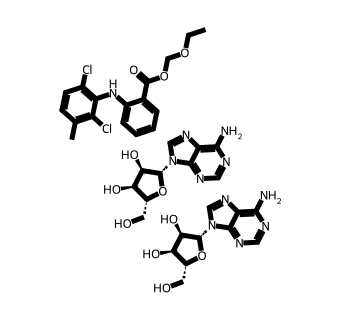 CCOCOC(=O)c1ccccc1Nc1c(Cl)ccc(C)c1Cl.Nc1ncnc2c1ncn2[C@@H]1O[C@H](CO)[C@@H](O)[C@H]1O.Nc1ncnc2c1ncn2[C@@H]1O[C@H](CO)[C@@H](O)[C@H]1O